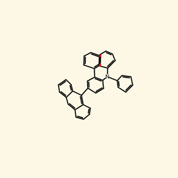 c1ccc(-c2cc(-c3c4ccccc4cc4ccccc34)ccc2N(c2ccccc2)c2ccccc2)cc1